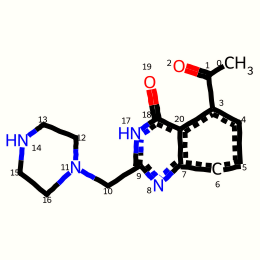 CC(=O)c1cccc2nc(CN3CCNCC3)[nH]c(=O)c12